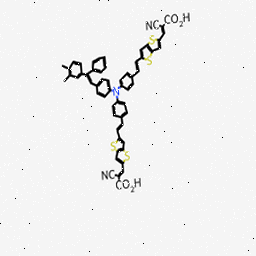 Cc1ccc(/C(=C/c2ccc(N(c3ccc(/C=C/c4cc5sc(/C=C(\C#N)C(=O)O)cc5s4)cc3)c3ccc(/C=C/c4cc5sc(/C=C(\C#N)C(=O)O)cc5s4)cc3)cc2)c2ccccc2)cc1C